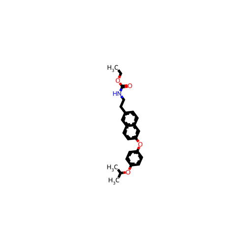 CCOC(=O)NCCc1ccc2cc(Oc3ccc(OC(C)C)cc3)ccc2c1